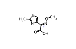 CO/N=C(/C(=O)O)c1csc(C)n1